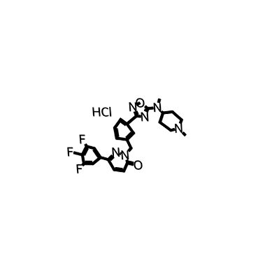 CN1CCC(N(C)c2nc(-c3cccc(Cn4nc(-c5cc(F)c(F)c(F)c5)ccc4=O)c3)no2)CC1.Cl